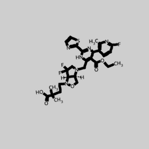 CCOC(=O)C1=C(CN2CC(F)(F)[C@H]3[C@@H]2CON3CCC(C)(C)C(=O)O)NC(c2nccs2)=NC1c1ccc(F)nc1C